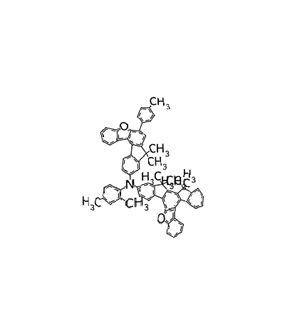 Cc1ccc(-c2cc3c(c4c2oc2ccccc24)-c2ccc(N(c4ccc5c(c4)C(C)(C)c4c6c(c7c(oc8ccccc87)c4-5)-c4ccccc4C6(C)C)c4ccc(C)cc4C)cc2C3(C)C)cc1